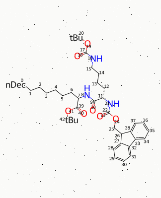 CCCCCCCCCCCCCCCCC(NC(=O)[C@H](CCCCNC(=O)OC(C)(C)C)NC(=O)OCC1c2ccccc2-c2ccccc21)C(=O)OC(C)(C)C